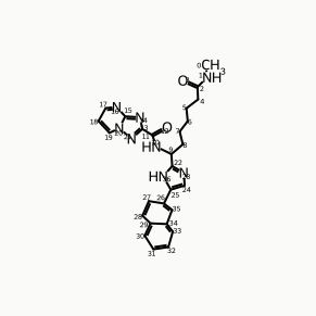 CNC(=O)CCCCCC(NC(=O)c1nc2ncccn2n1)c1ncc(-c2ccc3ccccc3c2)[nH]1